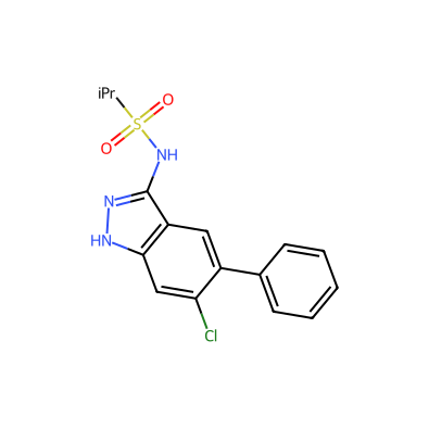 CC(C)S(=O)(=O)Nc1n[nH]c2cc(Cl)c(-c3ccccc3)cc12